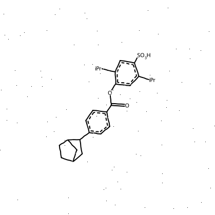 CC(C)c1cc(S(=O)(=O)O)c(C(C)C)cc1OC(=O)c1ccc(C2CC3CCC2C3)cc1